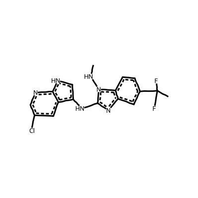 CNn1c(Nc2c[nH]c3ncc(Cl)cc23)nc2cc(C(C)(F)F)ccc21